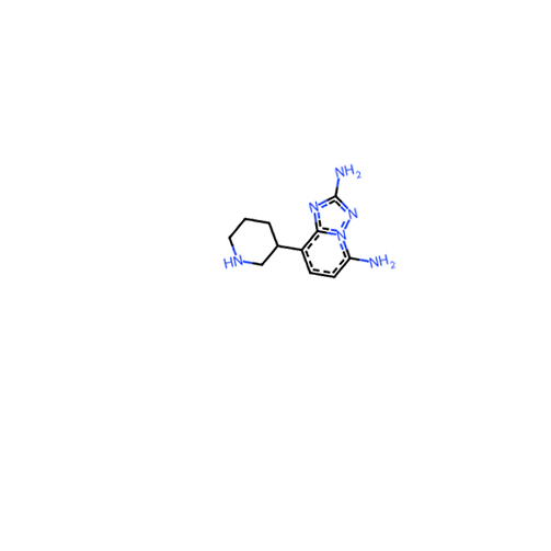 Nc1nc2c(C3CCCNC3)ccc(N)n2n1